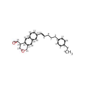 CCc1ccc(CCCC=Cc2ccc3cc4c(cc3c2)COCC4C=O)cc1